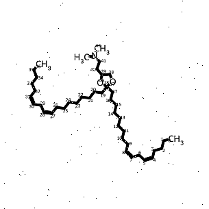 CCCC/C=C\C/C=C\CCCCCCCCCC1(CCCCCCCC/C=C\C/C=C\CCCCC)OCC(CCN(C)C)O1